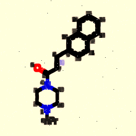 CCCN1CCN(C(=O)/C=C/c2ccc3ccccc3c2)CC1